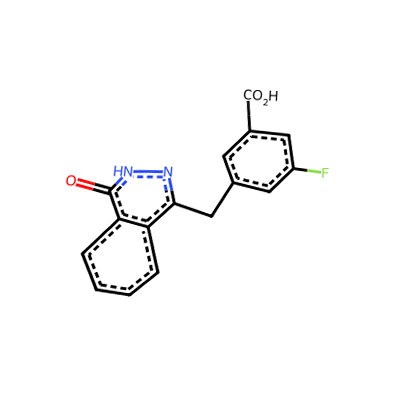 O=C(O)c1cc(F)cc(Cc2n[nH]c(=O)c3ccccc23)c1